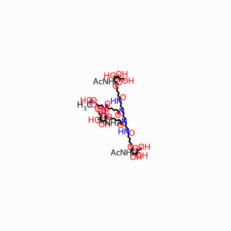 CC(=O)NC1[C@H](OCCCCC(=O)NCCCN(CCCN(CCCNC(=O)CCCCO[C@@H]2OC(CO)[C@H](O)[C@H](O)C2NC(C)=O)C(=O)CCCCC(=O)NCC(O)COP(C)(=O)O)C(=O)CCCCO[C@@H]2OC(CO)[C@H](O)[C@H](O)C2NC(C)=O)OC(CO)[C@H](O)[C@@H]1O